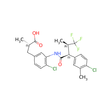 Cc1cc([C@@H](C(=O)Nc2cc(C[C@H](C)C(=O)O)ccc2Cl)[C@@H](C)C(F)(F)F)ccc1Cl